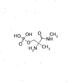 CNC(=O)C(C)(N)COP(=O)(O)O